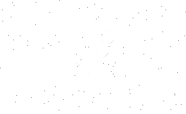 CC(C)(C)C(O)C(CN)c1ccc2ccccc2c1.Cl